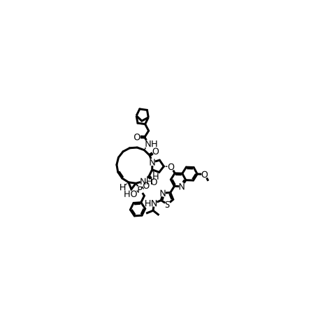 COc1ccc2c(O[C@@H]3C[C@H]4C(=O)N[C@]5(P(=O)(O)Cc6ccccc6)C[C@H]5/C=C\CCCCC[C@H](NC(=O)CC5CC6CCC5C6)C(=O)N4C3)cc(-c3csc(NC(C)C)n3)nc2c1